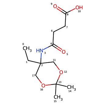 CCC1(NC(=O)CCC(=O)O)COC(C)(C)OC1